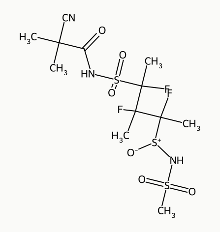 CC(C)(C#N)C(=O)NS(=O)(=O)C(C)(F)C(C)(F)C(C)(F)[S+]([O-])NS(C)(=O)=O